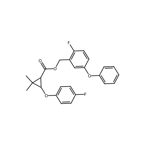 CC1(C)C(Oc2ccc(F)cc2)C1C(=O)OCc1cc(Oc2ccccc2)ccc1F